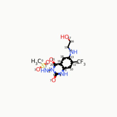 CS(=O)(=O)Nn1c(=O)[nH]c2cc(C(F)(F)F)c(NCCO)cc2c1=O